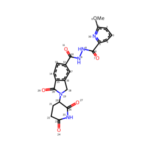 COc1cccc(C(=O)NNC(=O)c2ccc3c(c2)CN(C2CCC(=O)NC2=O)C3=O)n1